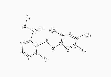 CCc1cccc(C(=O)OC(C)C)c1COc1cc(F)c(C)cc1C